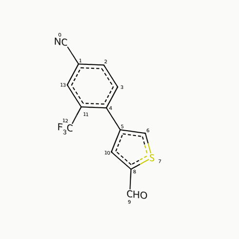 N#Cc1ccc(-c2csc(C=O)c2)c(C(F)(F)F)c1